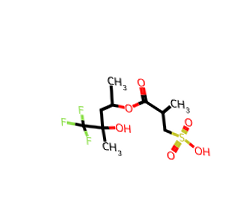 CC(CC(C)(O)C(F)(F)F)OC(=O)C(C)CS(=O)(=O)O